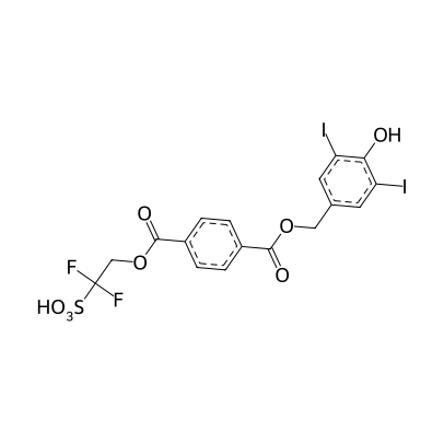 O=C(OCc1cc(I)c(O)c(I)c1)c1ccc(C(=O)OCC(F)(F)S(=O)(=O)O)cc1